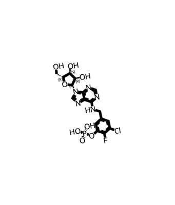 O=P(O)(O)Oc1cc(CNc2ncnc3c2ncn3[C@@H]2O[C@H](CO)[C@@H](O)[C@H]2O)cc(Cl)c1F